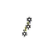 c1ccc(CSSc2cccc(SCc3ccccc3)c2)cc1